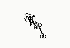 COC(=O)CCCCCNC(=O)N1CCN(c2cc3c(cc2F)c(=O)c(C(=O)O)cn3C2CC2)CC1